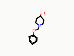 OC1CCN(COc2ccccc2)CC1